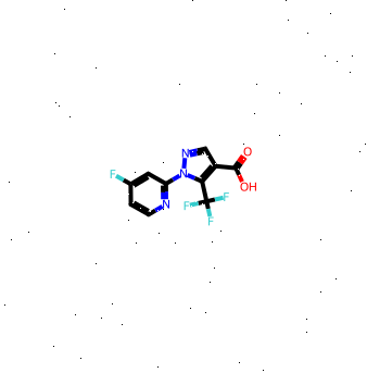 O=C(O)c1cnn(-c2cc(F)ccn2)c1C(F)(F)F